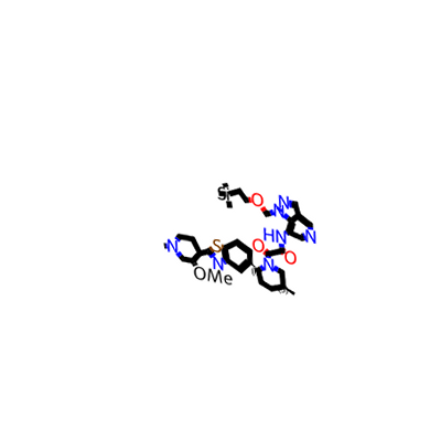 COC1CN(C)CCC1c1nc2cc([C@H]3CC[C@H](C)CN3C(=O)C(=O)Nc3cncc4cnn(COCC[Si](C)(C)C)c34)ccc2s1